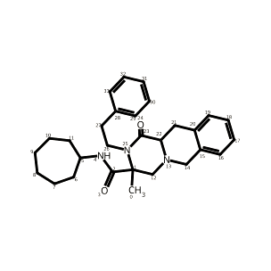 CC1(C(=O)NC2CCCCCC2)CN2Cc3ccccc3CC2C(=O)N1CCc1ccccc1